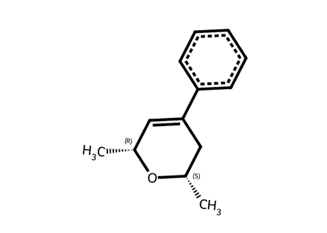 C[C@@H]1C=C(c2ccccc2)C[C@H](C)O1